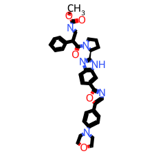 COC(=O)/N=C/C(C(=O)N1CCC[C@H]1c1nc2ccc(-c3ncc(-c4ccc(N5CCOCC5)cc4)o3)cc2[nH]1)c1ccccc1